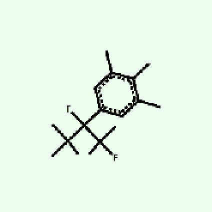 Cc1cc(C(F)(C(C)(C)C)C(C)(C)F)cc(C)c1C